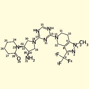 Cn1nc(C(F)(F)F)c2c1CCN(c1ncnc(N3C[C@@H](N)[C@@H](N4CCCCC4=O)C3)n1)C2